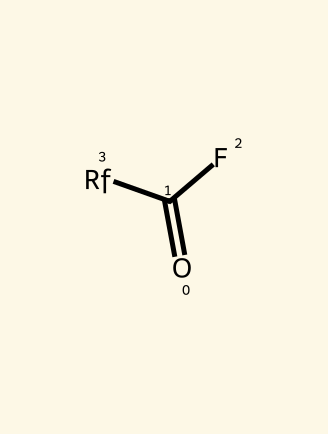 O=[C](F)[Rf]